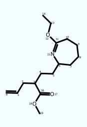 C=CCC(CCC1CCCCC(OCC)=N1)C(=O)OC